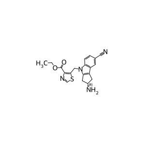 CCOC(=O)c1ncsc1Cn1c2c(c3cc(C#N)ccc31)C[C@@H](N)C2